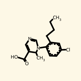 CCCCc1cc(Cl)ccc1N1C=NC=C(C(=O)O)C1C